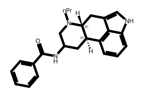 CCCN1CC(NC(=O)c2ccccc2)C[C@@H]2c3cccc4[nH]cc(c34)C[C@H]21